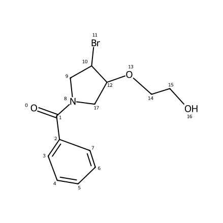 O=C(c1ccccc1)N1CC(Br)C(OCCO)C1